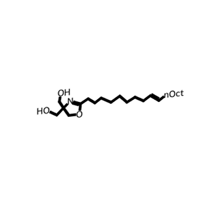 CCCCCCCCC=CCCCCCCCCC1=NC(CO)(CO)CO1